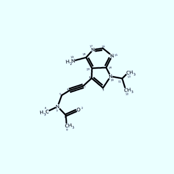 CC(=O)N(C)CC#Cc1cn(C(C)C)c2ncnc(N)c12